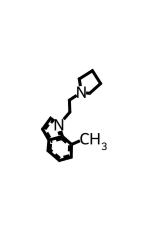 Cc1cccc2ccn(CCN3CCCC3)c12